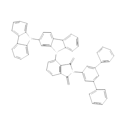 O=C1c2cccc(-n3c4ccccc4c4ccc(-n5c6ccccc6c6ccccc65)cc43)c2C(=O)N1c1cc(-c2ccccc2)cc(-c2ccccc2)c1